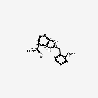 COc1ccccc1Cc1nc2cccc(C(N)=O)c2[nH]1